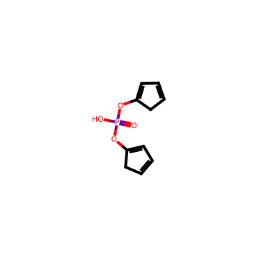 O=P(O)(OC1=CC=CC1)OC1=CC=CC1